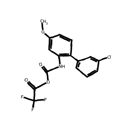 COc1ccc(-c2cccc(Cl)c2)c(NC(=O)OC(=O)C(F)(F)F)c1